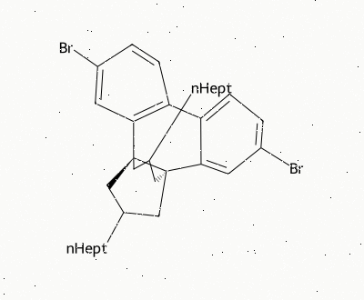 CCCCCCCC1C[C@]23CC(CCCCCCC)C[C@@]2(C1)c1cc(Br)ccc1-c1ccc(Br)cc13